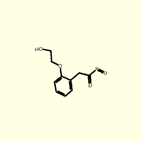 O=NC(=O)Cc1ccccc1OCCO